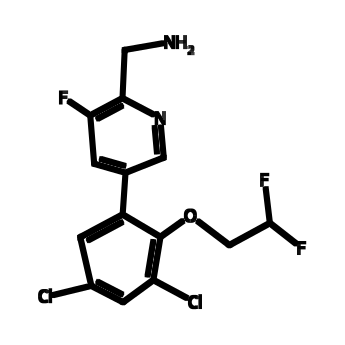 NCc1ncc(-c2cc(Cl)cc(Cl)c2OCC(F)F)cc1F